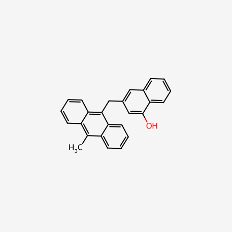 Cc1c2ccccc2c(Cc2cc(O)c3ccccc3c2)c2ccccc12